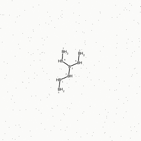 BBBB(BB)BB